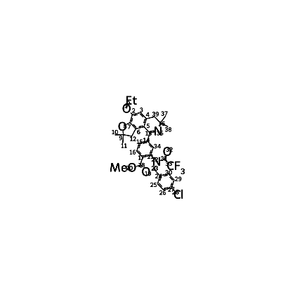 CCOc1cc2c(c3c1OC(C)(C)C3)C(c1ccc(C(=O)OC)c(N(Cc3ccc(Cl)cc3)C(=O)C(F)(F)F)c1)=NC(C)(C)C2